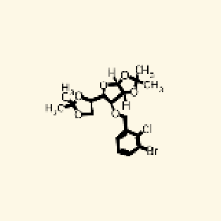 CC1(C)O[C@H]2O[C@H]([C@H]3COC(C)(C)O3)[C@H](OCc3cccc(Br)c3Cl)[C@H]2O1